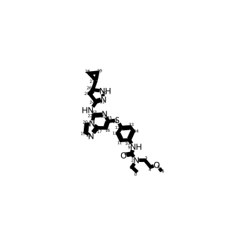 CCN(CCOC)C(=O)Nc1ccc(Sc2cc3nccn3c(Nc3cc(C4CC4)[nH]n3)n2)cc1